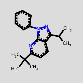 CC(C)c1nn(-c2ccccc2)c2nc(C(C)(C)C)ccc12